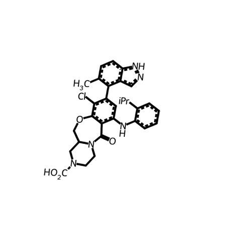 Cc1ccc2[nH]ncc2c1-c1cc(Nc2ccccc2C(C)C)c2c(c1Cl)OCC1CN(C(=O)O)CCN1C2=O